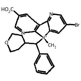 C[N+]1(C(c2ccccc2)C2CCOCC2)c2cc(Br)cnc2-c2cc(C(=O)O)cnc21